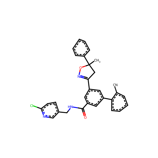 CC1(c2ccccc2)CC(c2cc(C(=O)NCc3ccc(Cl)nc3)cc(-c3ccccc3C#N)c2)=NO1